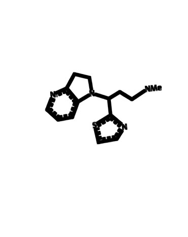 CNCCC(c1nccs1)N1CCc2ncccc21